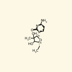 CC[C@H]1O[C@@H](n2ccc(N)nc2=O)C(C)(O)C1O